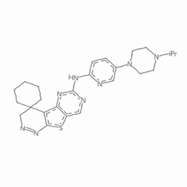 CC(C)N1CCN(c2ccc(Nc3ncc4sc5c(c4n3)C3(CCCCC3)CN=N5)nc2)CC1